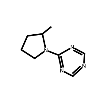 CC1CCCN1c1ncncn1